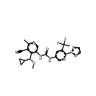 CO[C@H](c1c(NC(=O)Nc2cnc(-n3nccn3)c(C(F)(F)F)c2)cnc(C)c1C#N)C1CC1